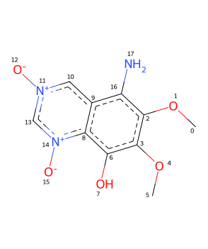 COc1c(OC)c(O)c2c(c[n+]([O-])c[n+]2[O-])c1N